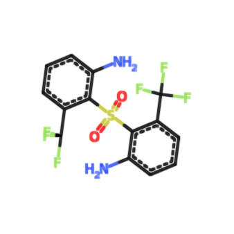 Nc1cccc(C(F)(F)F)c1S(=O)(=O)c1c(N)cccc1C(F)(F)F